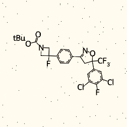 CC(C)(C)OC(=O)N1CC(F)(c2ccc(C3=NOC(c4cc(Cl)c(F)c(Cl)c4)(C(F)(F)F)C3)cc2)C1